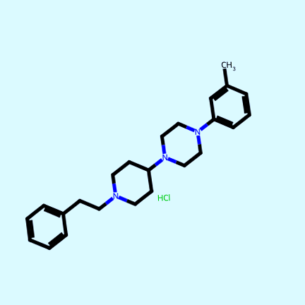 Cc1cccc(N2CCN(C3CCN(CCc4ccccc4)CC3)CC2)c1.Cl